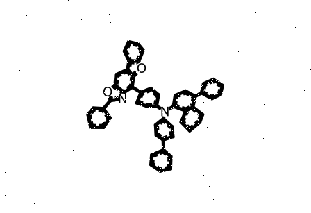 c1ccc(-c2ccc(N(c3ccc(-c4c5nc(-c6ccccc6)oc5cc5c4oc4ccccc45)cc3)c3ccc(-c4ccccc4)c4ccccc34)cc2)cc1